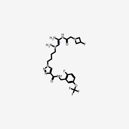 N/C(=C\N(N)CCCCn1cc(C(=O)NCc2cc(OC(F)(F)F)ccc2F)nn1)NC(=O)CN1CC(F)C1